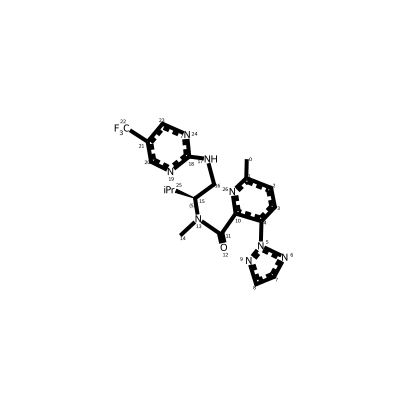 Cc1ccc(-n2nccn2)c(C(=O)N(C)[C@H](CNc2ncc(C(F)(F)F)cn2)C(C)C)n1